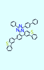 c1ccc(-c2ccc(-c3nc(-c4ccccc4)nc(-c4cc(-c5ccc6sc7ccccc7c6c5)ccc4-c4ccc5sc6ccccc6c5c4)n3)cc2)cc1